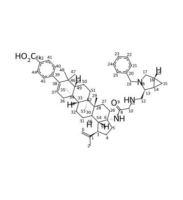 C=C(C)[C@@H]1CC[C@]2(NC(=O)CNC[C@@H]3C4C[C@H]4CN3Cc3ccccc3)CC[C@]3(C)[C@H](CC[C@@H]4[C@@]5(C)CC=C(c6ccc(C(=O)O)cc6)C(C)(C)[C@@H]5CC[C@]43C)[C@@H]12